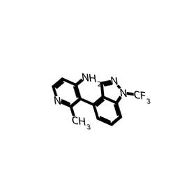 Cc1nccc(N)c1-c1cccc2c1cnn2C(F)(F)F